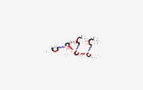 CC[C@H](OC)[C@@H](C)[C@H]1O[C@@H]1[C@H](O)[C@@H](C)/C=C/C=C(\C)[C@H]1O[C@H](OCCO[C@@H]2[C@H](OC)[C@@H](OC)[C@@H](OCCO[C@H]3C[C@@H](OC)[C@H](OC)O[C@H]3/C(C)=C/C=C/[C@H](C)[C@@H](O)[C@H]3O[C@@H]3[C@H](C)[C@H](CC)OC)O[C@@H]2/C(C)=C/C=C/[C@H](C)[C@@H](O)[C@@H]2O[C@H]2[C@H](C)[C@H](CC)OC)[C@H](OC)[C@@H](OC)[C@H]1OC